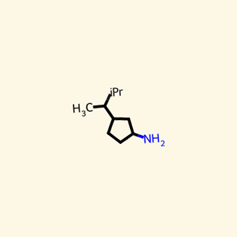 CC(C)C(C)C1CCC(N)C1